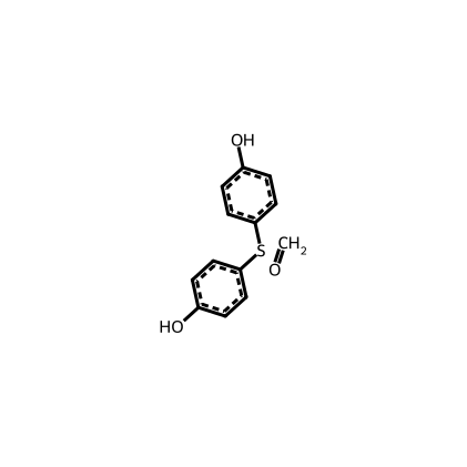 C=O.Oc1ccc(Sc2ccc(O)cc2)cc1